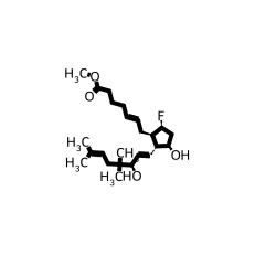 COC(=O)CCCC=CC[C@@H]1[C@@H](C=C[C@@H](O)C(C)(C)CC=C(C)C)[C@H](O)C[C@H]1F